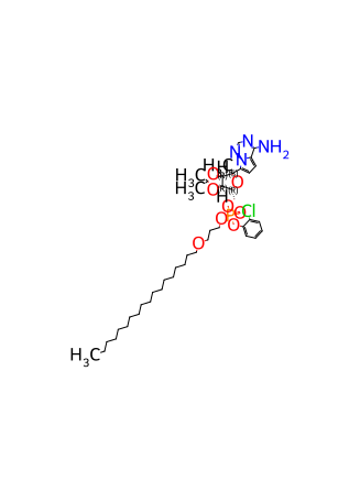 CCCCCCCCCCCCCCCCCCOCCCOP(=O)(OC[C@H]1O[C@@](C)(c2ccc3c(N)ncnn23)[C@@H]2OC(C)(C)O[C@@H]21)Oc1ccccc1Cl